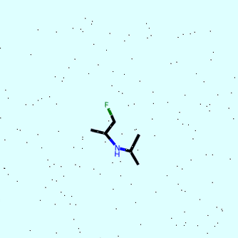 CC(C)NC(C)CF